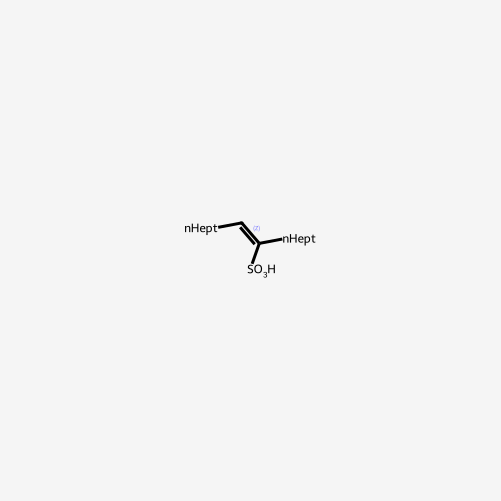 CCCCCCC/C=C(/CCCCCCC)S(=O)(=O)O